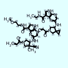 C=CC(=O)N1CC(Nc2cnc3[nH]cc(C(=O)NCC)c3n2)C2(CC2)C1.C=CC(=O)N1C[C@H](Nc2cnc3[nH]cc(C(=O)NCCOC)c3n2)[C@](C)(C#N)C1